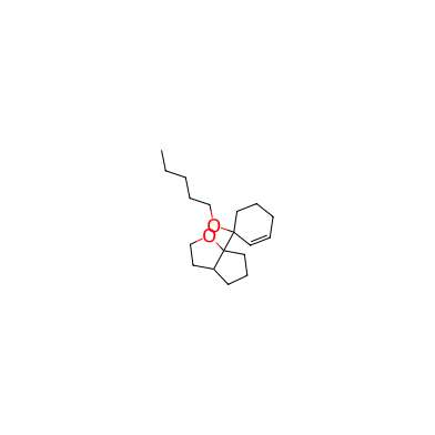 CCCCCOC1(C23CCCC2CCO3)C=CCCC1